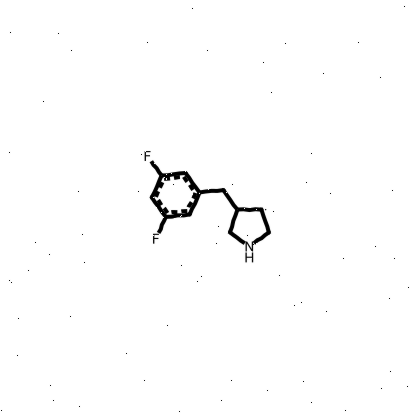 Fc1cc(F)cc(CC2[CH]CNC2)c1